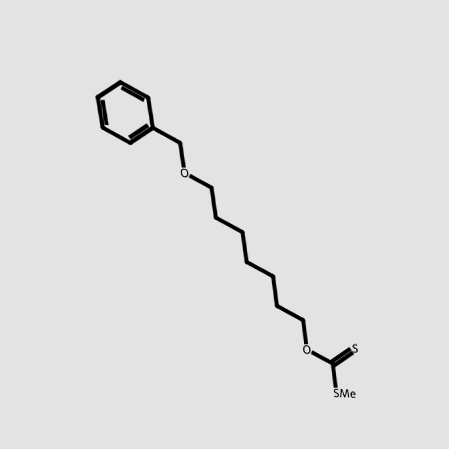 CSC(=S)OCCCCCCCOCc1ccccc1